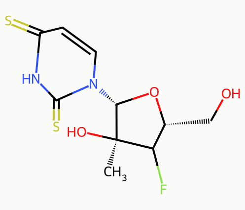 C[C@@]1(O)C(F)[C@@H](CO)O[C@H]1n1ccc(=S)[nH]c1=S